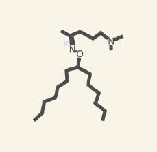 CCCCCCCC(CCCCCC)O/N=C(/C)CCCN(C)C